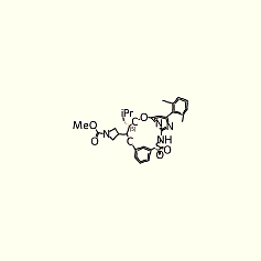 COC(=O)N1CC(C2Cc3cccc(c3)S(=O)(=O)Nc3nc(cc(-c4c(C)cccc4C)n3)OC[C@H]2CC(C)C)C1